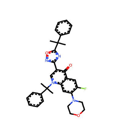 CC(C)(c1ccccc1)c1nc(-c2cn(C(C)(C)c3ccccc3)c3cc(N4CCOCC4)c(F)cc3c2=O)no1